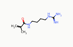 C=C(C)C(=O)NCCCCNC(=N)N